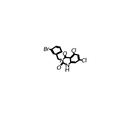 O=c1[nH]c2cc(Cl)cc(Cl)c2c(=O)n1Cc1cccc(Br)c1